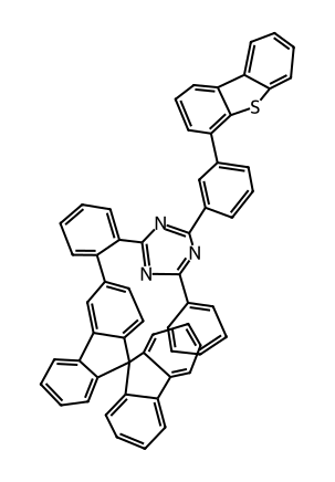 c1ccc(-c2nc(-c3cccc(-c4cccc5c4sc4ccccc45)c3)nc(-c3ccccc3-c3ccc4c(c3)-c3ccccc3C43c4ccccc4-c4ccccc43)n2)cc1